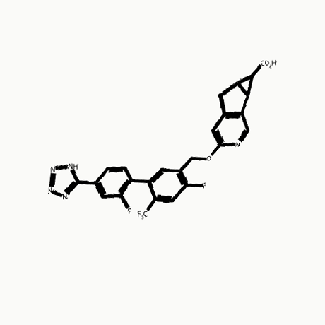 O=C(O)C1C2Cc3cc(OCc4cc(-c5ccc(-c6nnn[nH]6)cc5F)c(C(F)(F)F)cc4F)ncc3C21